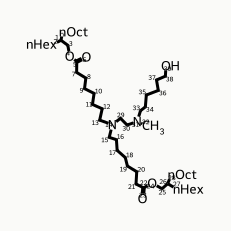 CCCCCCCCC(CCCCCC)COC(=O)CCCCCCCN(CCCCCCCC(=O)OCC(CCCCCC)CCCCCCCC)CCN(C)CCCCCCO